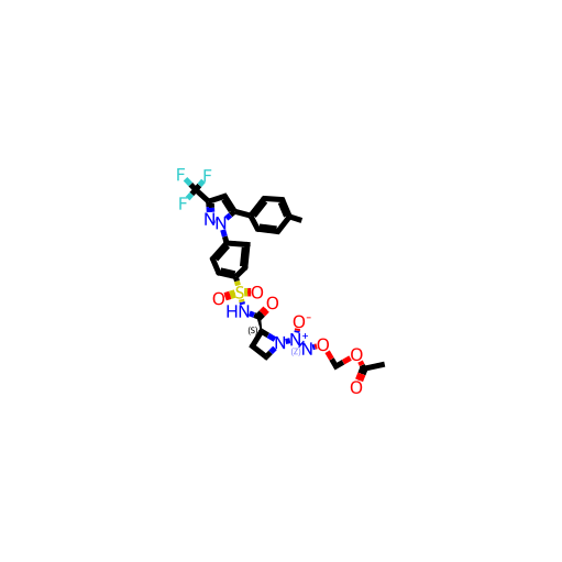 CC(=O)OCO/N=[N+](\[O-])N1CC[C@H]1C(=O)NS(=O)(=O)c1ccc(-n2nc(C(F)(F)F)cc2-c2ccc(C)cc2)cc1